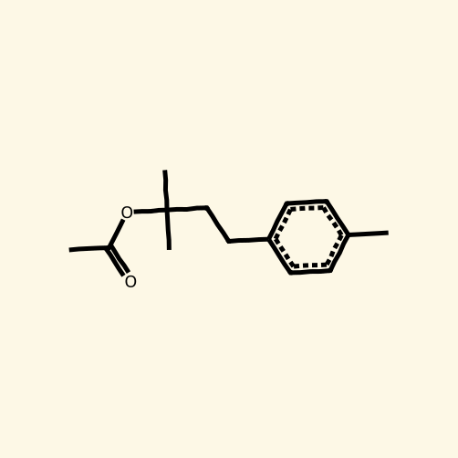 CC(=O)OC(C)(C)CCc1ccc(C)cc1